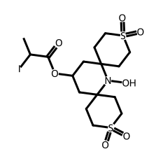 CC(I)C(=O)OC1CC2(CCS(=O)(=O)CC2)N(O)C2(CCS(=O)(=O)CC2)C1